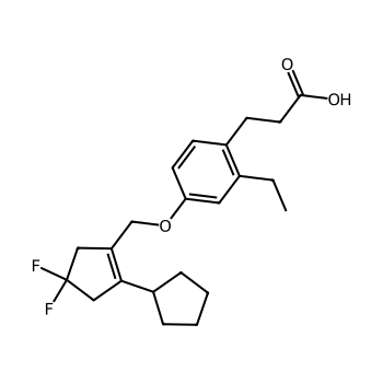 CCc1cc(OCC2=C(C3CCCC3)CC(F)(F)C2)ccc1CCC(=O)O